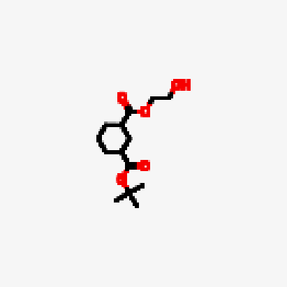 CC(C)(C)OC(=O)C1CCCC(C(=O)OCCO)C1